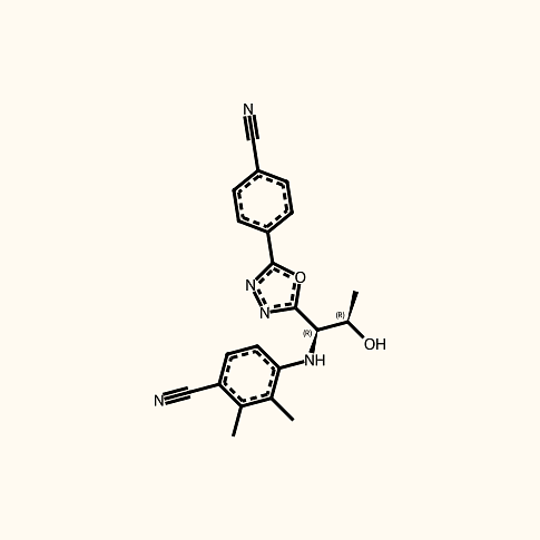 Cc1c(C#N)ccc(N[C@@H](c2nnc(-c3ccc(C#N)cc3)o2)[C@@H](C)O)c1C